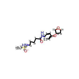 CC/C=C(\C=C/CNC(=O)CCCCN[S+]([O-])C(C)(C)C)OC1CCOC1